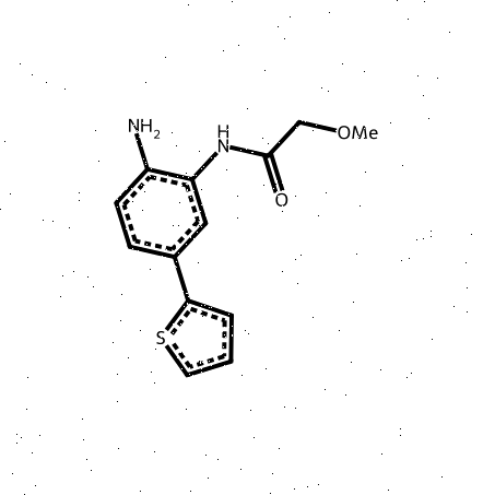 COCC(=O)Nc1cc(-c2cccs2)ccc1N